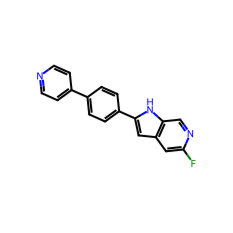 Fc1cc2cc(-c3ccc(-c4ccncc4)cc3)[nH]c2cn1